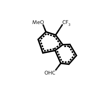 COc1ccc2c(C=O)cccc2c1C(F)(F)F